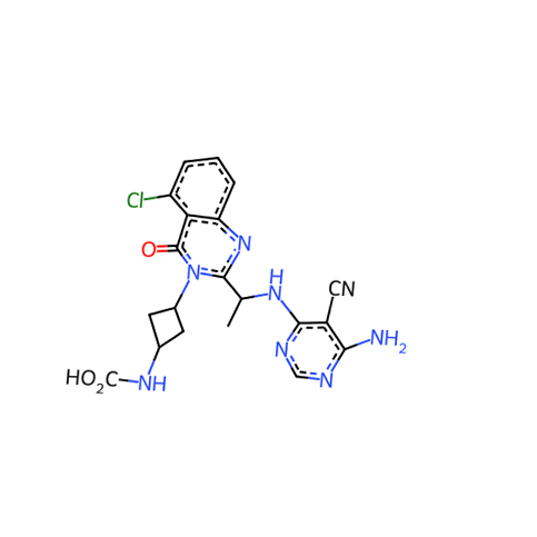 CC(Nc1ncnc(N)c1C#N)c1nc2cccc(Cl)c2c(=O)n1C1CC(NC(=O)O)C1